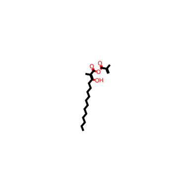 C=C(C)C(=O)OC(=O)C(C)=C(O)CCCCCCCCCCCC